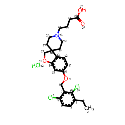 CCc1ccc(Cl)c(COc2ccc3c(c2)OCC32CCN(CCCC(=O)O)CC2)c1Cl.Cl